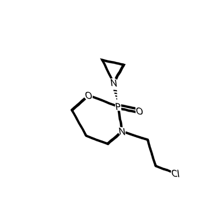 O=[P@]1(N2CC2)OCCCN1CCCl